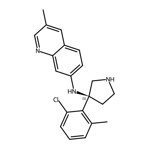 Cc1cnc2cc(N[C@]3(c4c(C)cccc4Cl)CCNC3)ccc2c1